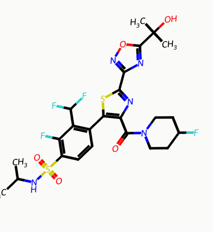 CC(C)NS(=O)(=O)c1ccc(-c2sc(-c3noc(C(C)(C)O)n3)nc2C(=O)N2CCC(F)CC2)c(C(F)F)c1F